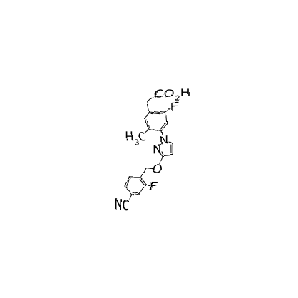 Cc1cc(CC(=O)O)c(F)cc1-n1ccc(OCc2ccc(C#N)cc2F)n1